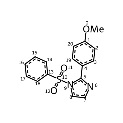 COc1ccc(-c2nccn2S(=O)(=O)c2ccccc2)cc1